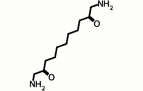 NCC(=O)CCCCCCCC(=O)CN